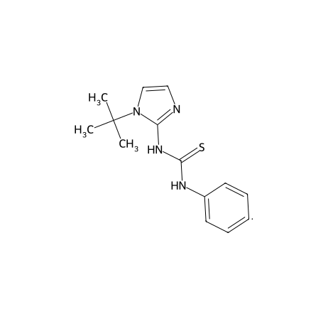 CC(C)(C)n1ccnc1NC(=S)Nc1cc[c]cc1